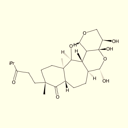 CC(C)C(=O)CC[C@]1(C)CC[C@]2(C)[C@H](CC[C@H]3[C@H]4C5[C@@H](OC[C@@H](O)[C@]5(O)O[C@@H]3O)O[C@@H]42)C1=O